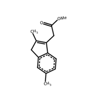 COC(=O)CC1=C(C)Cc2cc(C)ccc21